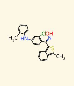 Cc1ccccc1Nc1ccc(/C(=N\O)c2sc(C)c3ccccc23)c(Cl)c1